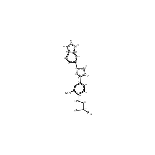 N#Cc1cc(-c2nc(-c3ccc4nonc4c3)no2)ccc1NCC(F)F